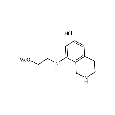 COCCNc1cccc2c1CNCC2.Cl